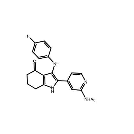 CC(=O)Nc1cc(-c2[nH]c3c(c2Nc2ccc(F)cc2)C(=O)CCC3)ccn1